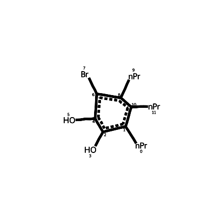 CCCc1c(O)c(O)c(Br)c(CCC)c1CCC